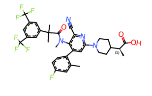 Cc1cc(F)ccc1-c1cc(N2CCC([C@H](C)C(=O)O)CC2)nc(C#N)c1N(C)C(=O)C(C)(C)c1cc(C(F)(F)F)cc(C(F)(F)F)c1